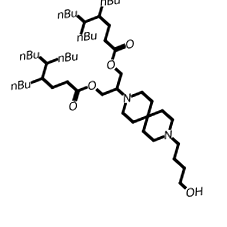 CCCCC(CCCC)C(CCCC)CCC(=O)OCC(COC(=O)CCC(CCCC)C(CCCC)CCCC)N1CCC2(CCN(CCCCO)CC2)CC1